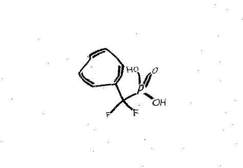 O=P(O)(O)C(F)(F)c1cc[c]cc1